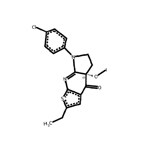 CCc1cc2c(s1)N=C1N(c3ccc(Cl)cc3)CC[C@@]1(OI)C2=O